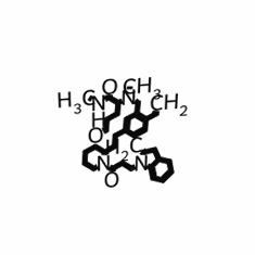 C=Cc1ccc(CCC2CCCCN2C(=O)CCN2C(=C)CC3CC=CC=C32)cc1CN(C)C(CCC=O)C(=O)NC